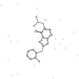 C[C@@H](C(F)F)n1nnc2cn(Cc3ccccc3F)nc2c1=O